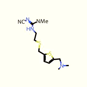 CN/C(=N/C#N)NCCSCc1ccc(CN(C)C)s1